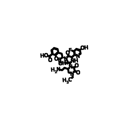 CCN1CC(CCN)N(C(=O)NC(C(=O)N[C@H]2Cc3cccc(C(=O)O)c3OB2O)c2ncc(O)cc2F)C(=O)C1=O